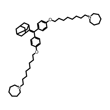 c1cc(C(=C2C3CC4CC(C3)CC2C4)c2ccc(OCCCCCCCCN3CCCCCC3)cc2)ccc1OCCCCCCCCN1CCCCCC1